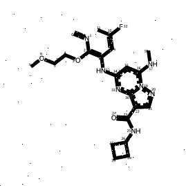 C=N/C(OCCOC)=C(\C=C(/C)F)Nc1cc(NC)n2ncc(C(=O)NC3CCC3)c2n1